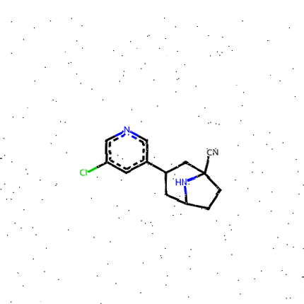 N#CC12CCC(CC(c3cncc(Cl)c3)C1)N2